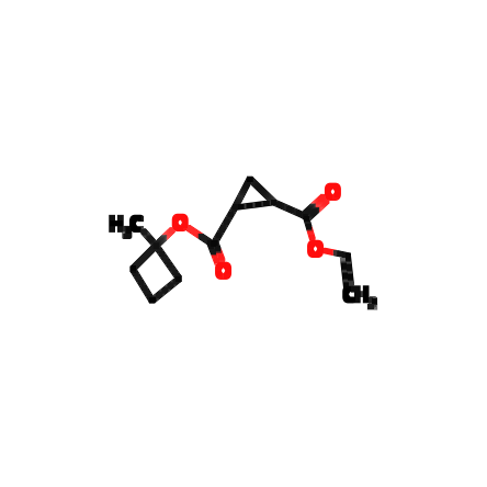 C=COC(=O)C1CC1C(=O)OC1(C)CCC1